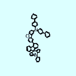 c1ccc(-c2ccc(N(c3ccc(-c4ccccc4)cc3)c3ccc4oc5ccc(-c6cccc7c6-c6ccccc6C76c7ccccc7N(c7ccccc7)c7ccccc76)cc5c4c3)cc2)cc1